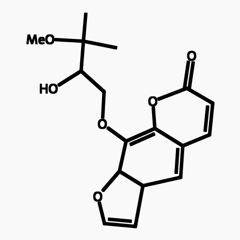 COC(C)(C)C(O)COC1=c2oc(=O)ccc2=CC2C=COC12